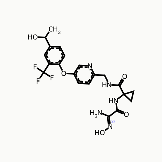 CC(O)c1ccc(Oc2ccc(CNC(=O)C3(NC(=O)/C(N)=N/O)CC3)nc2)c(C(F)(F)F)c1